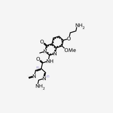 C=N/C=C(\C=N/CN)C(=O)Nc1nc2c(OC)c(OCCN)ccc2c(=O)n1C